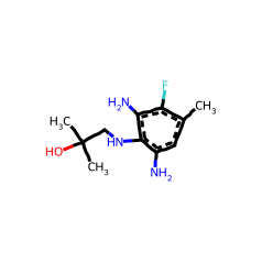 Cc1cc(N)c(NCC(C)(C)O)c(N)c1F